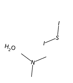 CN(C)C.ISI.O